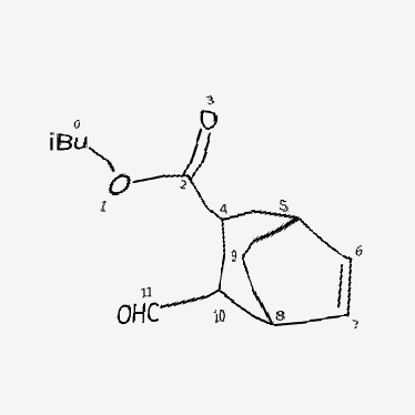 CCC(C)OC(=O)C1C2C=CC(C2)C1C=O